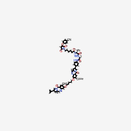 COc1cc2c(cc1OCCCCCOc1cc3c(cc1OC)C(=O)N1C=C(C4CC4)C[C@@H]1C=N3)N=C[C@H]1CC(c3ccc(NC(=O)[C@@H](C)NC(=O)[C@H](NC(=O)CCCCCN4C(=O)C=C(Oc5ccc(C#N)cc5)C4=O)C(C)C)cc3)=CN1C2=O